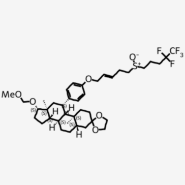 COCO[C@H]1CC[C@H]2[C@@H]3CC[C@H]4CC5(CC[C@]4(C)[C@H]3[C@@H](c3ccc(OCC=CCC[S+]([O-])CCCC(F)(F)C(F)(F)F)cc3)C[C@]12C)OCCO5